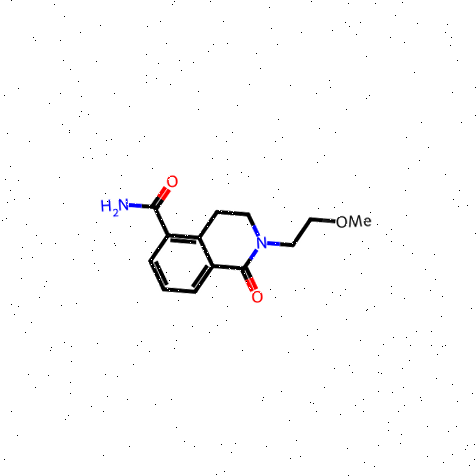 COCCN1CCc2c(C(N)=O)cccc2C1=O